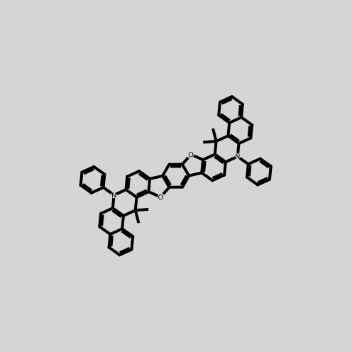 CC1(C)c2c(ccc3ccccc23)N(c2ccccc2)c2ccc3c(oc4cc5c(cc43)oc3c4c(ccc35)N(c3ccccc3)c3ccc5ccccc5c3C4(C)C)c21